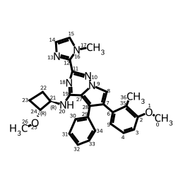 COc1cccc(-c2cn3nc(-c4nccn4C)nc(N[C@@H]4CC[C@H]4OC)c3c2-c2ccccc2)c1C